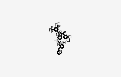 CCC(c1ccc(Cl)c(Cl)c1)C(N1CCC(Nc2nc3c(Cc4ccccn4)cccc3[nH]2)CC1)N(C)C(=O)c1cc(C(F)(F)F)cc(C(F)(F)F)c1